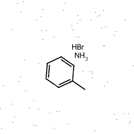 Br.Cc1ccccc1.N